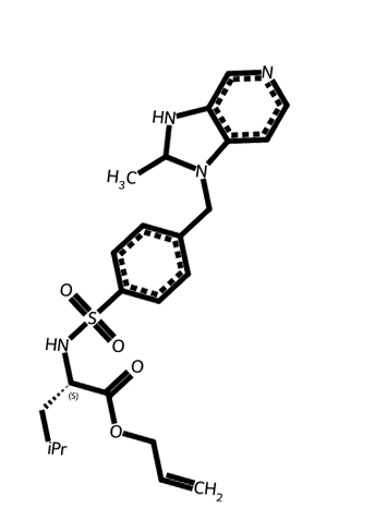 C=CCOC(=O)[C@H](CC(C)C)NS(=O)(=O)c1ccc(CN2c3ccncc3NC2C)cc1